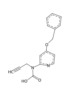 C#CCN(C(=O)O)c1cc(OCc2ccccc2)ccn1